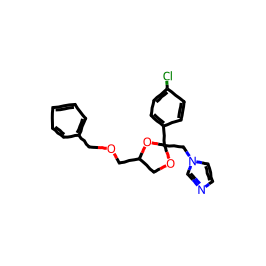 Clc1ccc(C2(Cn3ccnc3)OCC(COCc3ccccc3)O2)cc1